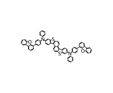 c1ccc(N(c2ccc(-c3cccc4c3oc3ccccc34)cc2)c2ccc3c(c2)sc2ccc4c(ccc5sc6cc(N(c7ccccc7)c7ccc(-c8cccc9c8oc8ccccc89)cc7)ccc6c54)c23)cc1